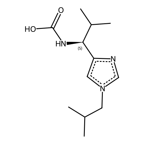 CC(C)Cn1cnc([C@@H](NC(=O)O)C(C)C)c1